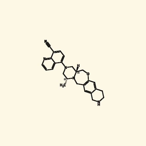 C[C@@H]1CN(c2ccc(C#N)c3ncccc23)C[C@@H]2COc3cc4c(cc3CN21)CNCC4